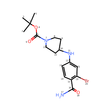 CC(C)(C)OC(=O)N1CCC(Nc2ccc(C(N)=O)c(Br)c2)CC1